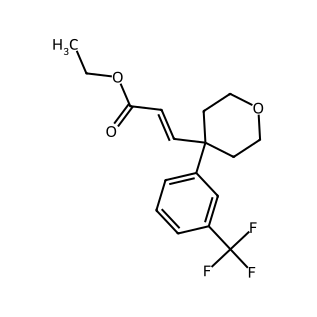 CCOC(=O)C=CC1(c2cccc(C(F)(F)F)c2)CCOCC1